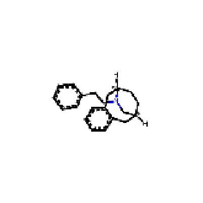 c1ccc(CCN2C[C@@H]3CC[C@H]2Cc2ccccc2C3)cc1